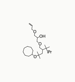 C=CCOCC(O)COCC(CC(C)(C)OC1CCCCCCC1)C(C)(C)C(C)C